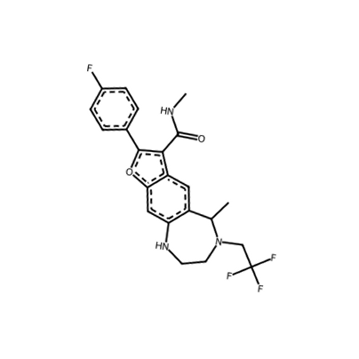 CNC(=O)c1c(-c2ccc(F)cc2)oc2cc3c(cc12)C(C)N(CC(F)(F)F)CCN3